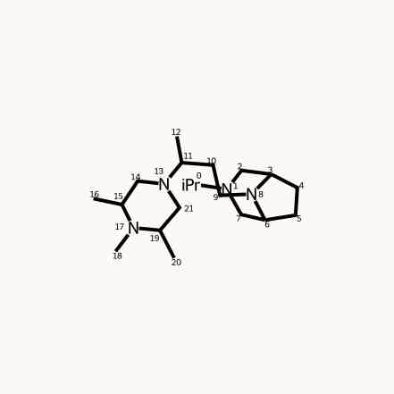 CC(C)N1CC2CCC(C1)N2CCC(C)N1CC(C)N(C)C(C)C1